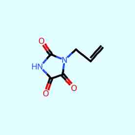 C=CCN1C(=O)NC(=O)C1=O